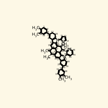 Cc1ccc(C2=Cc3c(n(-c4ccc[nH]4)c4c5c6c(cc34)C(C)C(C)c3cc4c7cc(-c8ccc(C)c(C)c8)ccc7n(-c7cccnc7)c4c(c3-6)C(C)C5C)CC2)cc1C